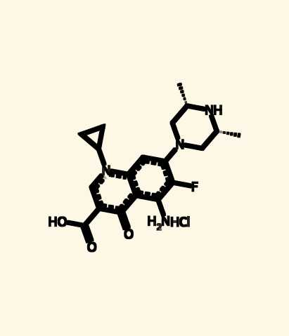 C[C@@H]1CN(c2cc3c(c(N)c2F)c(=O)c(C(=O)O)cn3C2CC2)C[C@H](C)N1.Cl